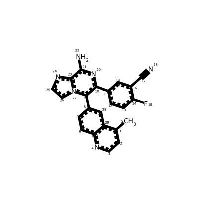 Cc1ccnc2ccc(-c3c(-c4ccc(F)c(C#N)c4)nc(N)c4nccn34)cc12